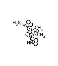 CCCCn1/c(=C/C=C2\CCC/C(=C\C=c3\[nH]c4cccc5cccc3c54)C2=C2C(=O)N(CC)C(=O)N(CC)C2=O)c2cccc3cccc1c32